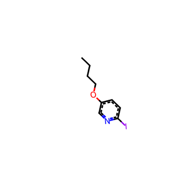 CCCCOc1ccc(I)nc1